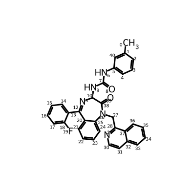 Cc1cccc(NC(=O)N[C@@H]2N=C(c3ccccc3F)c3ccccc3N(Cc3nccc4ccccc34)C2=O)c1